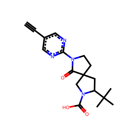 C#Cc1cnc(N2CCC3(CC(C(C)(C)C)N(C(=O)O)C3)C2=O)nc1